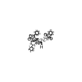 O=C(NC1CC(c2ccccc2)CCN(C(CCc2ccccc2)C(=O)O)C1=O)C(S)CCCCN1C(=O)c2ccccc2C1=O